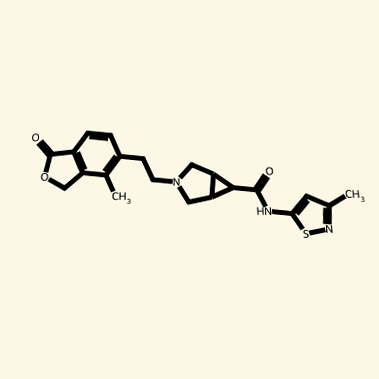 Cc1cc(NC(=O)C2C3CN(CCc4ccc5c(c4C)COC5=O)CC32)sn1